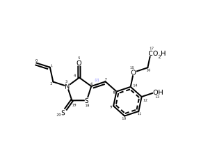 C=CCN1C(=O)/C(=C/c2cccc(O)c2OCC(=O)O)SC1=S